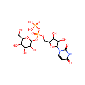 O=c1ccn([C@H]2O[C@@H](COP(=O)(O[C@@H]3O[C@H](CO)[C@H](O)[C@H](O)[C@@H]3O)OP(=O)(O)O)C(O)C2O)c(=O)[nH]1